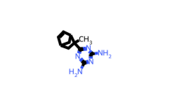 CC1(c2nc(N)nc(N)n2)CC2C=CC1C2